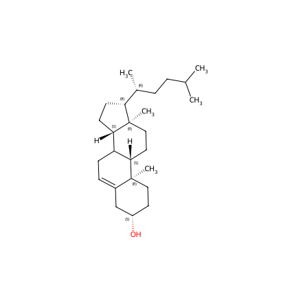 CC(C)CC[C@@H](C)[C@H]1CC[C@H]2C3CC=C4C[C@@H](O)CC[C@]4(C)[C@H]3CC[C@]12C